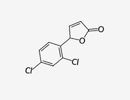 O=C1C=CC(c2ccc(Cl)cc2Cl)O1